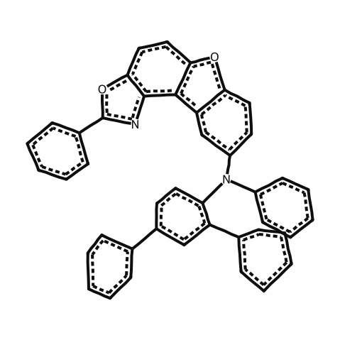 c1ccc(-c2ccc(N(c3ccccc3)c3ccc4oc5ccc6oc(-c7ccccc7)nc6c5c4c3)c(-c3ccccc3)c2)cc1